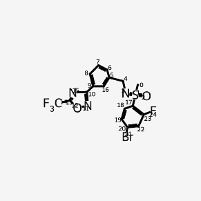 CS(=O)(=NCc1cccc(-c2noc(C(F)(F)F)n2)c1)c1ccc(Br)cc1F